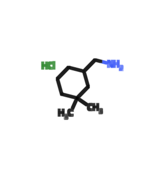 CC1(C)CCCC(CN)C1.Cl